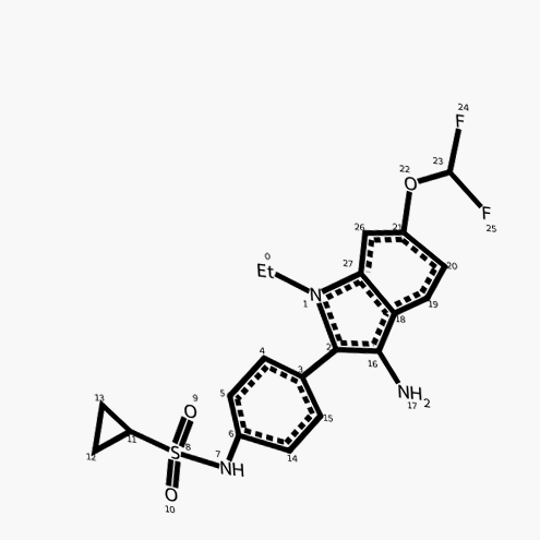 CCn1c(-c2ccc(NS(=O)(=O)C3CC3)cc2)c(N)c2ccc(OC(F)F)cc21